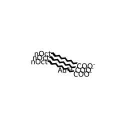 CCCCCCCCC=CCCCCCCCC(=O)[O-].CCCCCCCCC=CCCCCCCCC(=O)[O-].CCCCCCCCC=CCCCCCCCC(=O)[O-].[Au+3]